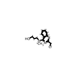 CN(CCCO)c1nc(CCl)nc2ccccc12